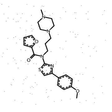 COc1ccc(-c2csc(N(CCCN3CCN(C)CC3)C(=O)c3ccco3)n2)cc1